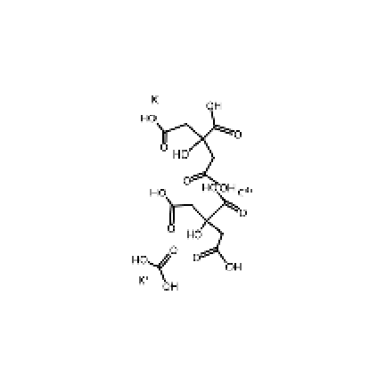 O=C(O)CC(O)(CC(=O)O)C(=O)O.O=C(O)CC(O)(CC(=O)O)C(=O)O.O=C(O)O.[C+4].[K+].[K+]